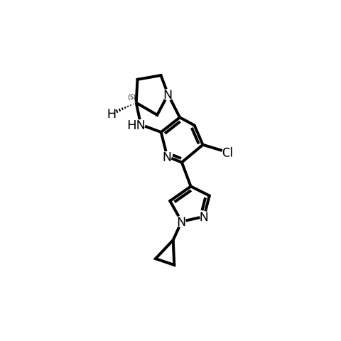 Clc1cc2c(nc1-c1cnn(C3CC3)c1)N[C@H]1CCN2C1